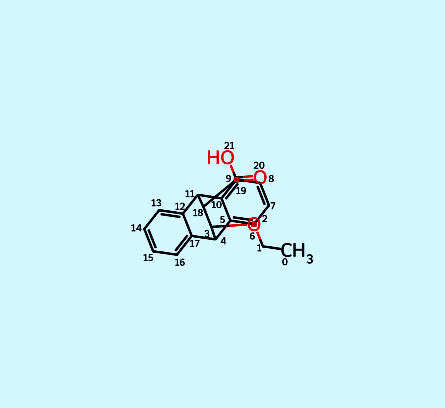 CCOC1C2c3ccccc3C(c3ccccc32)C1C(=O)O